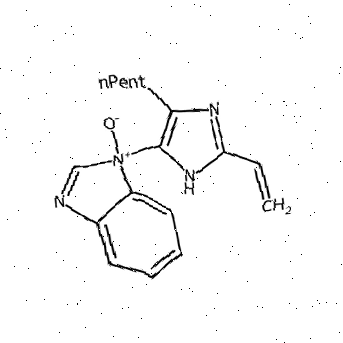 C=Cc1nc(CCCCC)c([N+]2([O-])C=Nc3ccccc32)[nH]1